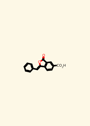 O=C(O)c1ccc2c(c1)C(=O)OC2=Cc1ccccc1